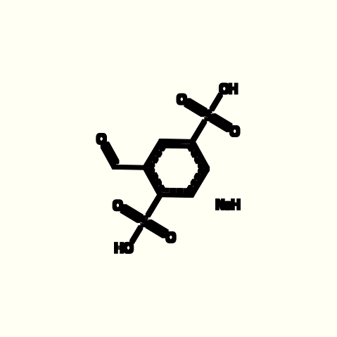 O=Cc1cc(S(=O)(=O)O)ccc1S(=O)(=O)O.[NaH]